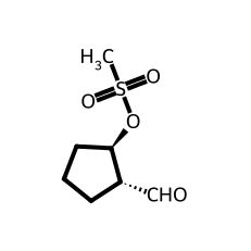 CS(=O)(=O)O[C@@H]1CCC[C@H]1C=O